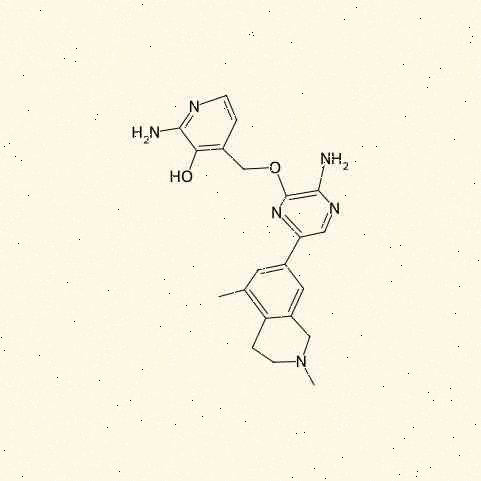 Cc1cc(-c2cnc(N)c(OCc3ccnc(N)c3O)n2)cc2c1CCN(C)C2